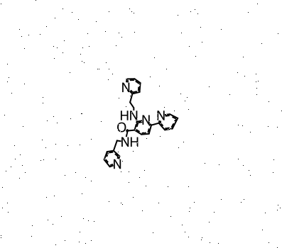 O=C(NCc1cccnc1)c1ccc(-c2ccccn2)nc1NCCc1ccccn1